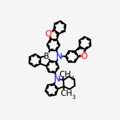 CC12CCCCC1(C)N(c1cc3c4c(c1)N(c1ccc5oc6ccccc6c5c1)c1cc5c(cc1B4c1ccccc1-3)oc1ccccc15)c1ccccc12